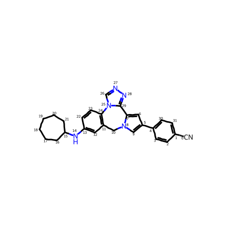 N#Cc1ccc(-c2cc3n(c2)Cc2cc(NC4CCCCCC4)ccc2-n2cnnc2-3)cc1